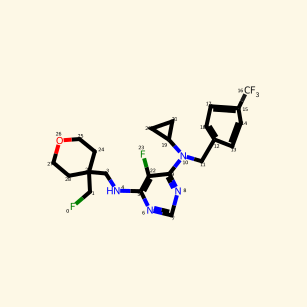 FCC1(CNc2ncnc(N(Cc3ccc(C(F)(F)F)cc3)C3CC3)c2F)CCOCC1